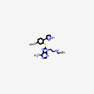 COc1ccc(-c2cc[nH]n2)c(Sc2nc3c(C)ncnc3n2CCNCC(C)(C)C)c1